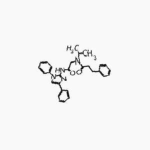 CC(C)N(CC(=O)Nc1nc(-c2ccccc2)cn1-c1ccccc1)C(=O)CCc1ccccc1